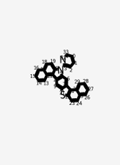 c1ccc(-n2c3cc4c(cc3c3c5ccccc5ccc32)sc2ccc3ccccc3c24)nc1